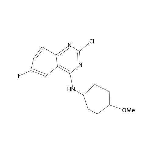 COC1CCC(Nc2nc(Cl)nc3ccc(I)cc23)CC1